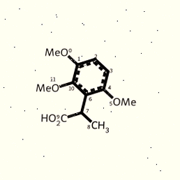 COc1ccc(OC)c(C(C)C(=O)O)c1OC